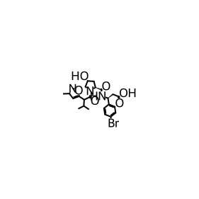 Cc1cc(C(C(=O)N2C[C@H](O)C[C@H]2C(=O)N[C@@H](CC(=O)O)c2ccc(Br)cc2)C(C)C)on1